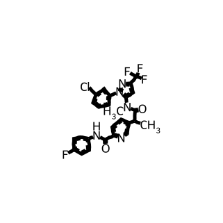 CC(C(=O)N(C)c1cc(C(F)(F)F)nn1-c1cccc(Cl)c1)c1ccc(C(=O)Nc2ccc(F)cc2)nc1